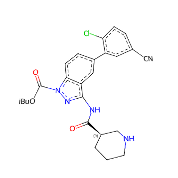 CC(C)COC(=O)n1nc(NC(=O)[C@@H]2CCCNC2)c2cc(-c3cc(C#N)ccc3Cl)ccc21